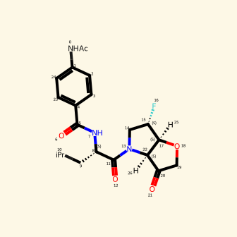 CC(=O)Nc1ccc(C(=O)N[C@@H](CC(C)C)C(=O)N2C[C@H](F)[C@H]3OCC(=O)[C@H]32)cc1